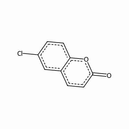 O=c1ccc2cc(Cl)ccc2o1